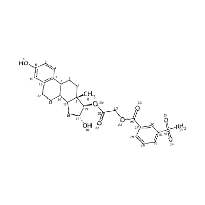 C[C@]12CCC3c4ccc(O)cc4CCC3C1C[C@@H](O)[C@@H]2OC(=O)COC(=O)c1cccc(S(N)(=O)=O)c1